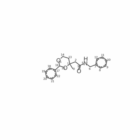 CC1(CC(=O)NCc2ccccc2)CCOC(c2ccccc2)O1